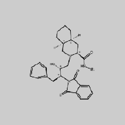 CC(C)(C)NC(=O)[C@@H]1C[C@@H]2CCCC[C@@H]2CN1C[C@@H](O)[C@H](Cc1ccccc1)N1C(=O)c2ccccc2C1=O